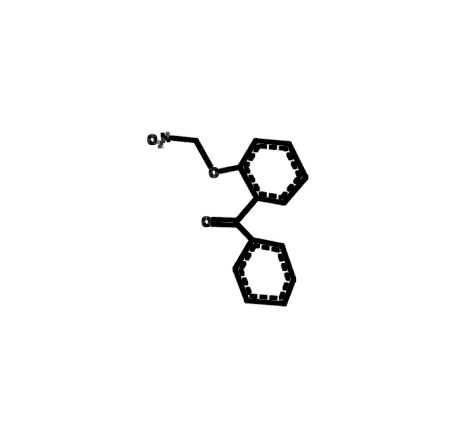 O=C(c1ccccc1)c1ccccc1OC[N+](=O)[O-]